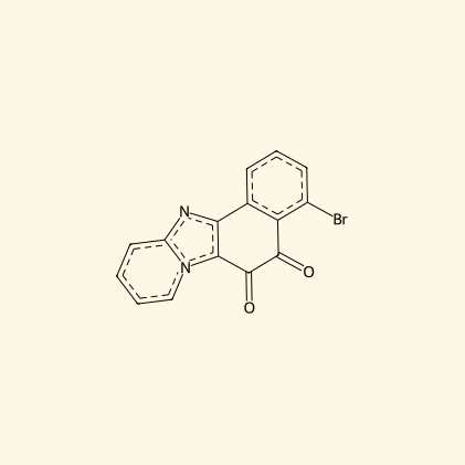 O=C1C(=O)c2c(nc3ccccn23)-c2cccc(Br)c21